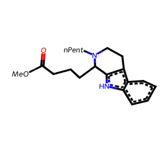 CCCCCN1CCc2c([nH]c3ccccc23)C1CCCC(=O)OC